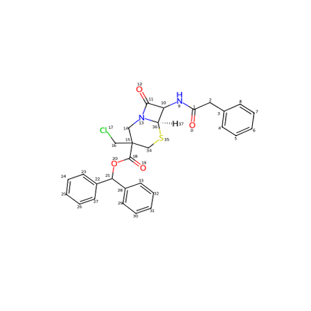 O=C(Cc1ccccc1)NC1C(=O)N2CC(CCl)(C(=O)OC(c3ccccc3)c3ccccc3)CS[C@H]12